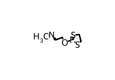 C/N=C/COP1SCCS1